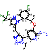 CCn1nnc2c1-c1cnc(N)c(c1)O[C@H](C)c1cc(F)ccc1-n1nc(C(F)(F)F)cc1C2